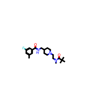 Cc1cc(F)cc(C(=O)NCC2CCN(CCN(C)C(=O)C(C)(C)C)CC2)c1